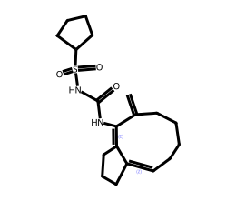 C=C1CCCC/C=C2/CCC/C2=C/1NC(=O)NS(=O)(=O)C1CCCC1